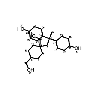 CC(CC1(CO)CCC(CO)CC1)(C1CCC(O)CC1)C1CCC(O)CC1